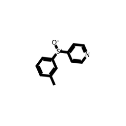 Cc1cccc([S+]([O-])c2ccncc2)c1